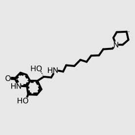 O=c1ccc2c([C@H](O)CNCCCCCCCCCN3CC[CH]CC3)ccc(O)c2[nH]1